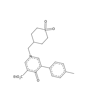 CCOC(=O)c1cn(CC2CCS(=O)(=O)CC2)cc(-c2ccc(C)cc2)c1=O